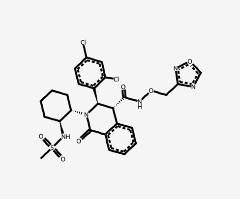 CS(=O)(=O)N[C@H]1CCCC[C@@H]1N1C(=O)c2ccccc2[C@@H](C(=O)NOCc2ncon2)[C@@H]1c1ccc(Cl)cc1Cl